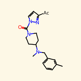 CC(=O)c1ccn(C(=O)N2CCC(N(C)Cc3cccc(C)c3)CC2)n1